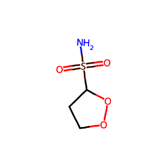 NS(=O)(=O)C1CCOO1